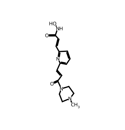 CN1CCN(C(=O)C=Cc2cccc(C=CC(=O)NO)n2)CC1